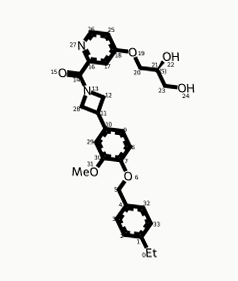 CCc1ccc(COc2ccc(C3CN(C(=O)c4cc(OC[C@@H](O)CO)ccn4)C3)cc2OC)cc1